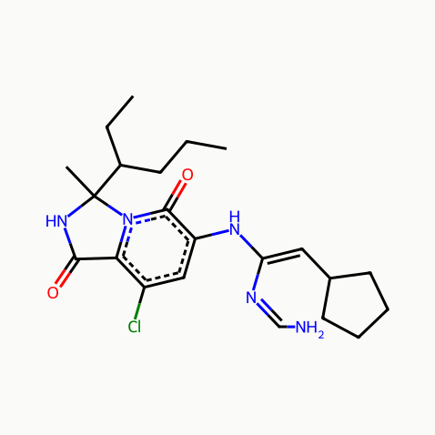 CCCC(CC)C1(C)NC(=O)c2c(Cl)cc(NC(=C/C3CCCC3)/N=C\N)c(=O)n21